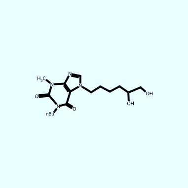 CCCCn1c(=O)c2c(ncn2CCCCC(O)CO)n(C)c1=O